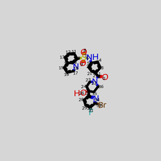 O=C(c1ccc(NS(=O)(=O)c2cccc3cccnc23)cc1)N1CCC(O)(c2ccc(F)c(Br)n2)CC1